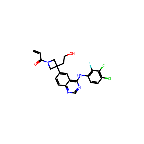 C=CC(=O)N1CC(CCO)(c2ccc3ncnc(Nc4ccc(Cl)c(Cl)c4F)c3c2)C1